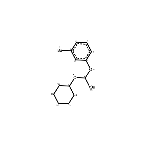 CCC(C)c1cccc(OC(OC2CCCCC2)C(C)(C)C)c1